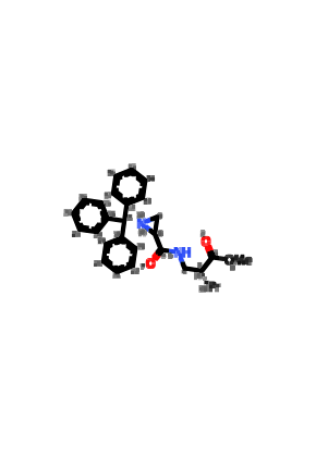 COC(=O)[C@@H](CNC(=O)C1C[N@]1C(c1ccccc1)(c1ccccc1)c1ccccc1)C(C)C